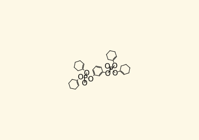 O=P(OC1=CCCCC1)(OC1=CCCCC1)Oc1cccc(OP(=O)(OC2=CCCCC2)OC2=CCCCC2)c1